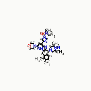 Cc1c(Cc2c(CN3CC(C)NC(C)C3)nc3c(-c4cn([S+]([O-])N(C)C)cn4)cc(N4CCOCC4)nn23)cccc1C(F)(F)F